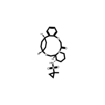 CC1(S(=O)(=O)N[C@H]2CCCN3C(=O)COc4ccccc4[C@H]4CC[C@H](CC4)OC[C@@H]23)CC1